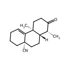 C[C@H]1C(=O)CC[C@]2(C)C3=CCCC[C@]3(C#N)CC[C@@H]12